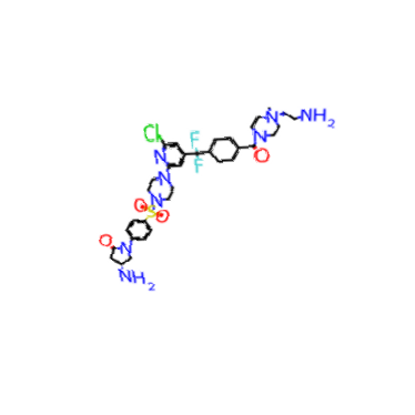 C[N+]1(CCN)CCN(C(=O)C2CCC(C(F)(F)c3cc(Cl)nc(N4CCN(S(=O)(=O)c5ccc(N6C[C@H](N)CC6=O)cc5)CC4)c3)CC2)CC1